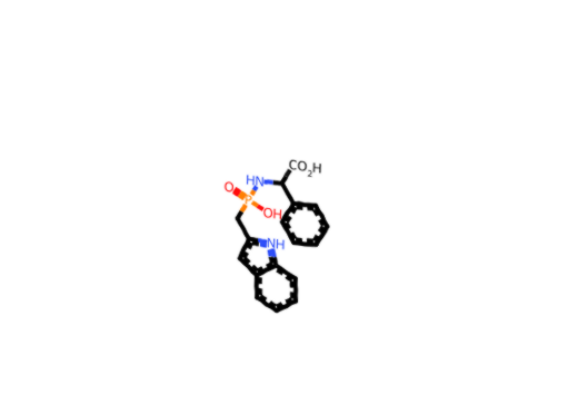 O=C(O)C(NP(=O)(O)Cc1cc2ccccc2[nH]1)c1ccccc1